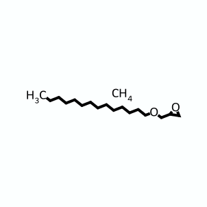 C.CCCCCCCCCCCCCCOCC1CO1